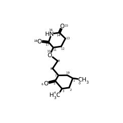 CC1CC(C)C(=O)C(CCOC2CCC(=O)NC2=O)C1